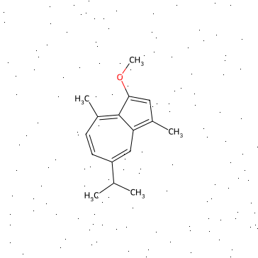 COc1cc(C)c2cc(C(C)C)ccc(C)c1-2